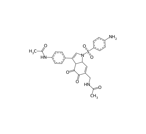 CC(=O)NCC1=CC2C(C(=O)C1=O)C(c1ccc(NC(C)=O)cc1)=CN2S(=O)(=O)c1ccc(N)cc1